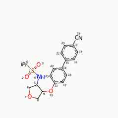 CC(C)S(=O)(=O)NC1COCC1Oc1ccc(-c2ccc(C#N)cc2)cc1